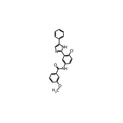 COc1cccc(C(=O)Nc2ccc(Cl)c(-c3ncc(-c4ccccc4)[nH]3)c2)c1